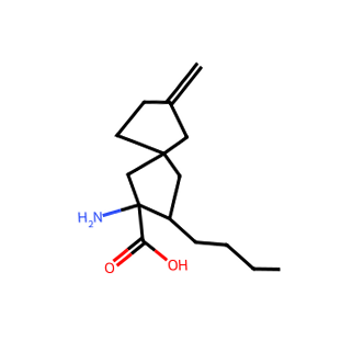 C=C1CCC2(C1)CC(CCCC)C(N)(C(=O)O)C2